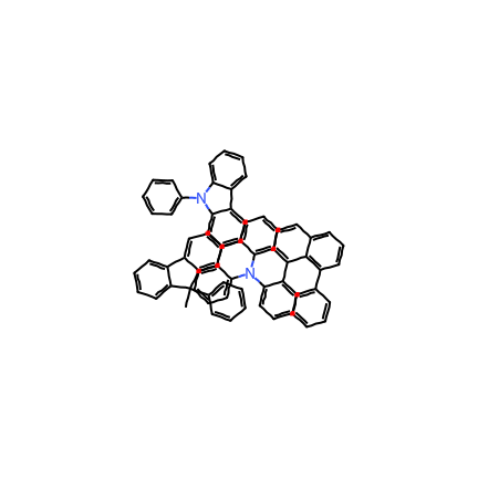 CC1(c2ccccc2)c2ccccc2-c2ccc(-c3ccccc3N(c3ccccc3-c3ccc4c5ccccc5n(-c5ccccc5)c4c3)c3ccccc3-c3cccc4cccc(-c5ccccc5)c34)cc21